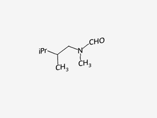 CC(C)C(C)CN(C)C=O